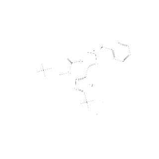 CC(C)(O)CCN1C(=O)N2C[C@@H](Cc3ccccc3)N=C2c2[nH]c(C(C)(C)C)nc21.Cl